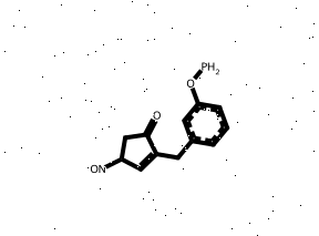 O=NC1C=C(Cc2cccc(OP)c2)C(=O)C1